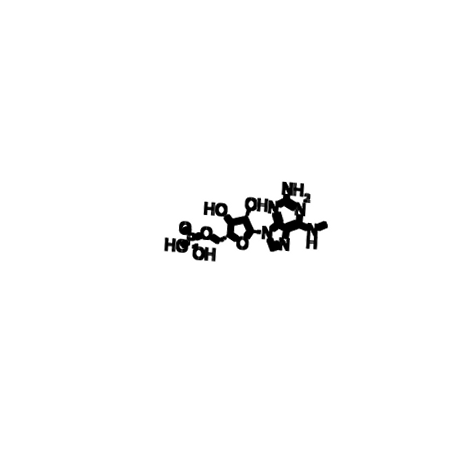 CNc1nc(N)nc2c1ncn2[C@@H]1O[C@H](COP(=O)(O)O)C(O)[C@@H]1O